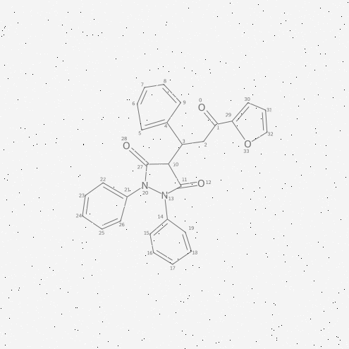 O=C(CC(c1ccccc1)C1C(=O)N(c2ccccc2)N(c2ccccc2)C1=O)c1ccco1